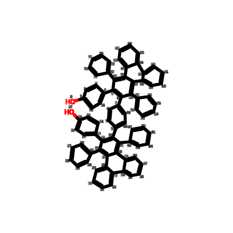 Oc1ccc(-c2c(-c3ccc(-c4c(-c5ccc(O)cc5)c(-c5ccccc5)c5c6ccccc6c6ccccc6c5c4-c4ccccc4)cc3)c(-c3ccccc3)c3c4ccccc4c4ccccc4c3c2-c2ccccc2)cc1